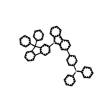 c1ccc(N(c2ccccc2)c2ccc(-c3ccc4c5ccccc5n(-c5ccc6c(c5)C(c5ccccc5)(c5ccccc5)c5ccccc5-6)c4c3)cc2)cc1